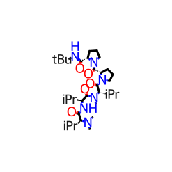 CC(C)[C@H](NC(=O)[C@H](C(C)C)N(C)C)C(=O)N(C)[C@H](C(=O)N1CCC[C@H]1C(=O)N1CCC[C@H]1C(=O)NC(C)(C)C)C(C)C